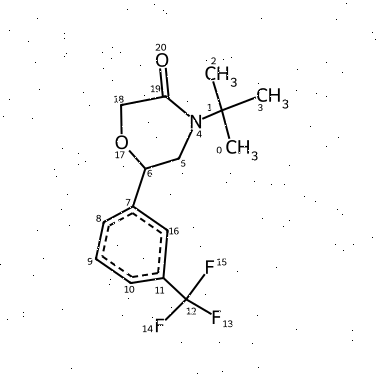 CC(C)(C)N1CC(c2cccc(C(F)(F)F)c2)OCC1=O